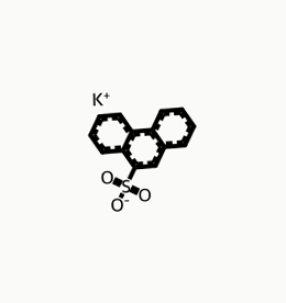 O=S(=O)([O-])c1cc2ccccc2c2ccccc12.[K+]